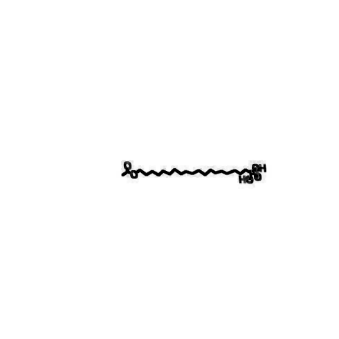 CC(=O)OCCCCCCCCCCCCCCCCCCCP(=O)(O)O